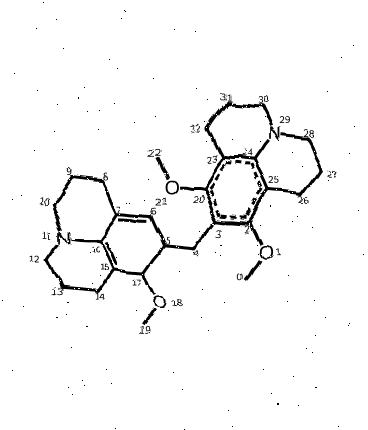 COc1c(CC2C=C3CCCN4CCCC(=C34)C2OC)c(OC)c2c3c1CCCN3CCC2